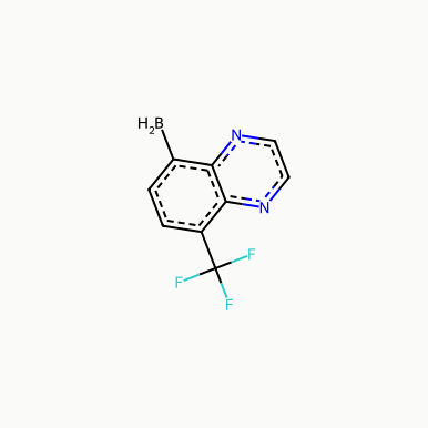 Bc1ccc(C(F)(F)F)c2nccnc12